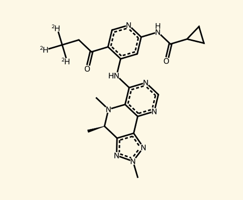 [2H]C([2H])([2H])CC(=O)c1cnc(NC(=O)C2CC2)cc1Nc1ncnc2c1N(C)[C@H](C)c1nn(C)nc1-2